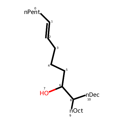 CCCCCC=CCCCC(O)C(CCCCCCCC)CCCCCCCCCC